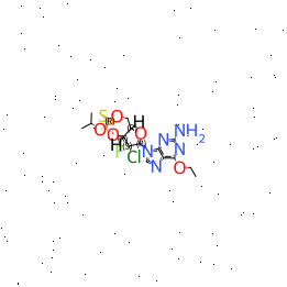 CCOc1nc(N)nc2c1ncn2[C@@H]1O[C@@H]2CO[P@@](=S)(OC(C)C)O[C@H]2[C@]1(F)Cl